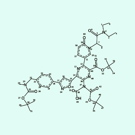 CCN(CC)C(=O)C(C)n1cc(-c2nc(-c3cc(-c4ccc(CN(C)C(=O)OC(C)(C)C)cc4)no3)c(N(C(=O)O)C(=O)OC(C)(C)C)nc2C(=O)OC(C)(C)C)ccc1=O